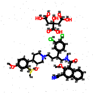 COc1ccc(C2CCN(CCC(CN(C)C(=O)c3c(OC)c(C#N)cc4ccccc34)c3ccc(Cl)c(Cl)c3)CC2)c([S@+](C)[O-])c1.O=C(O)CC(O)(CC(=O)O)C(=O)O